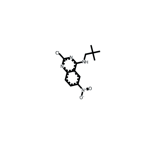 CC(C)(C)CNc1nc(Cl)nc2ccc([N+](=O)[O-])cc12